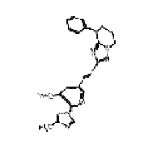 COc1cc(C=Cc2nc3n(n2)CCCC3c2ccccc2)cnc1-n1cnc(C)c1